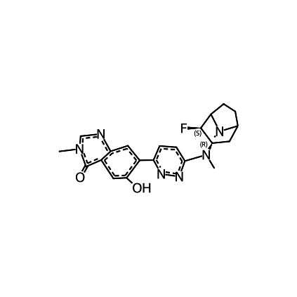 CN1C2CCC1[C@H](F)[C@H](N(C)c1ccc(-c3cc4ncn(C)c(=O)c4cc3O)nn1)C2